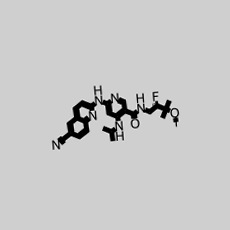 CC(C)Nc1cc(Nc2ccc3cc(C#N)ccc3n2)ncc1C(=O)NC[C@@H](F)C(C)(C)OI